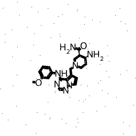 COc1cccc(Nc2ncnn3ccc(CN4CC[C@@H](N)[C@H](C(N)=O)C4)c23)c1